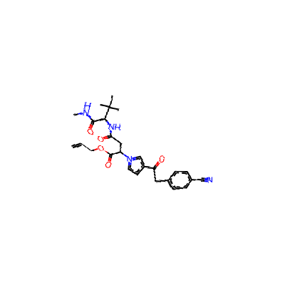 C=CCOC(=O)[C@@H](CC(=O)NC(C(=O)NC)C(C)(C)C)n1ccc(C(=O)Cc2ccc(C#N)cc2)c1